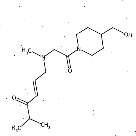 CC(C)C(=O)/C=C/CN(C)CC(=O)N1CCC(CO)CC1